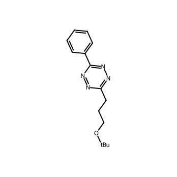 CC(C)(C)OCCCc1nnc(-c2ccccc2)nn1